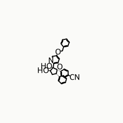 N#Cc1ccc([C@@]23Oc4cc(OCc5ccccc5)cnc4[C@]2(O)[C@H](O)C[C@H]3c2ccccc2)cc1